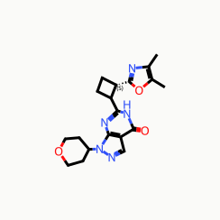 Cc1nc([C@H]2CCC2c2nc3c(cnn3C3CCOCC3)c(=O)[nH]2)oc1C